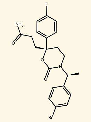 C[C@@H](c1ccc(Br)cc1)N1CC[C@@](CCC(N)=O)(c2ccc(F)cc2)OC1=O